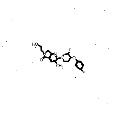 Cc1cc2c(nc1N1CCC(Oc3ccc(F)cc3)C(F)C1)CN(CCO)C2=O